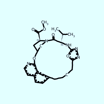 COC(=O)[C@@H]1CC2CN1C(=O)[C@H](C(C)C)Nc1nnc(o1)CCCCc1ccc3ccnc(c3c1)O2